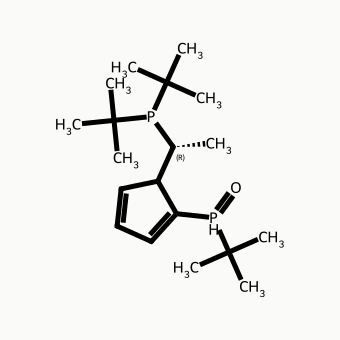 C[C@H](C1C=CC=C1[PH](=O)C(C)(C)C)P(C(C)(C)C)C(C)(C)C